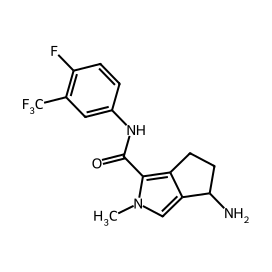 Cn1cc2c(c1C(=O)Nc1ccc(F)c(C(F)(F)F)c1)CCC2N